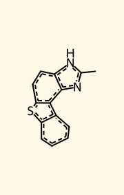 Cc1nc2c(ccc3sc4ccccc4c32)[nH]1